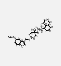 COc1ccc2occ(CCN3CCC(O)(CN(C)S(=O)(=O)c4cccc5cnccc45)CC3)c2c1